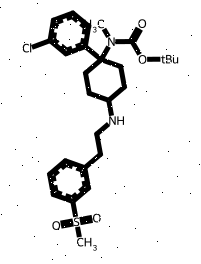 CN(C(=O)OC(C)(C)C)C1(c2cccc(Cl)c2)CCC(NCCc2cccc(S(C)(=O)=O)c2)CC1